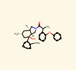 COc1ccccc1[C@]1(O)C[C@H](C)C[C@H]2CN(C(=O)C(C)c3ccccc3Oc3ccccc3)C[C@H]21